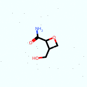 NC(=O)C1OCC1CO